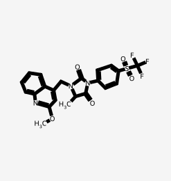 COc1cc(CN2C(=O)N(c3ccc(S(=O)(=O)C(F)(F)F)cc3)C(=O)C2C)c2ccccc2n1